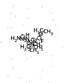 CSC1(C)CN(c2nc(-c3cc(F)cc(OCC(C)C)c3)ccc2C(=O)NSc2cccc(N)n2)C(C)(C)C1